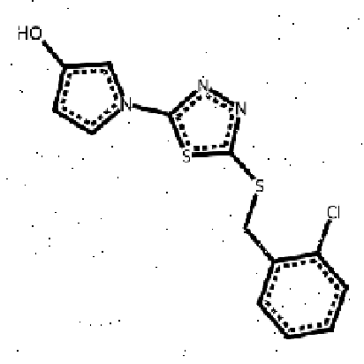 Oc1ccn(-c2nnc(SCc3ccccc3Cl)s2)c1